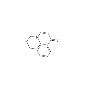 O=c1ccn2c3c(cccc13)CCC2